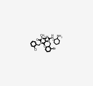 Cn1c(=O)n(Cc2ccccc2Cl)c(=O)c2c1nc(N[C@H]1CCCCC1N)n2Cc1ccccc1Br